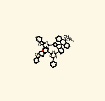 CC1(C)c2ccccc2C2(c3ccc(-c4nc(-c5ccc6c(c5)oc5ccccc56)c5oc6ccccc6c5n4)cc3-c3c(-c4nc(-c5ccccc5)nc(-c5ccccc5)n4)cccc32)c2ccccc21